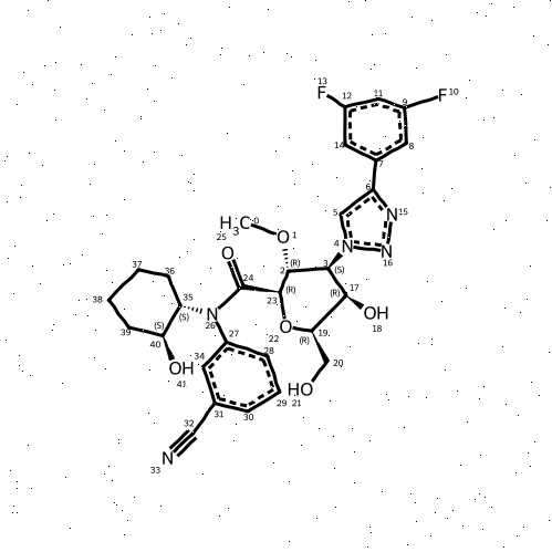 CO[C@@H]1[C@@H](n2cc(-c3cc(F)cc(F)c3)nn2)[C@@H](O)[C@@H](CO)O[C@H]1C(=O)N(c1cccc(C#N)c1)[C@H]1CCCC[C@@H]1O